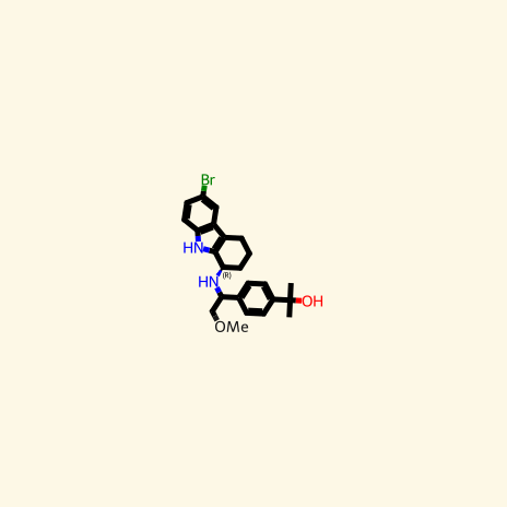 COCC(N[C@@H]1CCCc2c1[nH]c1ccc(Br)cc21)c1ccc(C(C)(C)O)cc1